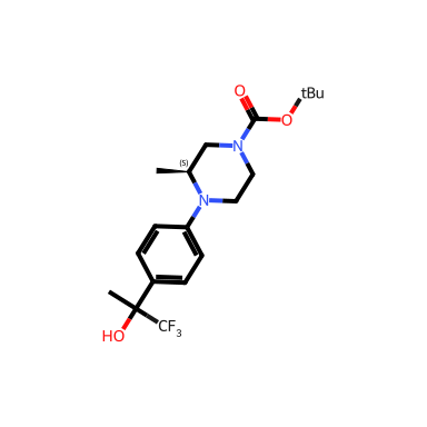 C[C@H]1CN(C(=O)OC(C)(C)C)CCN1c1ccc(C(C)(O)C(F)(F)F)cc1